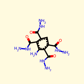 NNC(=O)c1cc(C(=O)NN)c(C(=O)NN)c(N)c1C(=O)NN